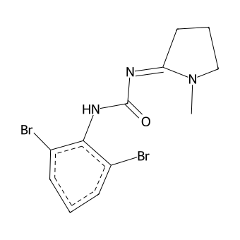 CN1CCC/C1=N/C(=O)Nc1c(Br)cccc1Br